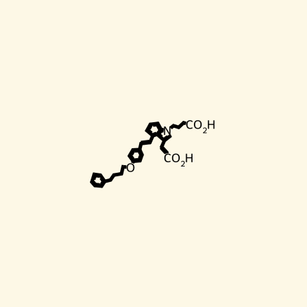 O=C(O)/C=C/c1cn(CCCC(=O)O)c2cccc(/C=C/c3ccc(OCCCCc4ccccc4)cc3)c12